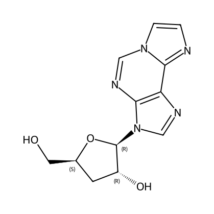 OC[C@@H]1C[C@@H](O)[C@H](n2cnc3c2ncn2ccnc32)O1